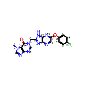 Cn1cnc2ncn(Cc3nc4ncc(Oc5ccc(Cl)cc5)nc4[nH]3)c(=O)c21